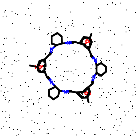 Cc1cc2c(O)c(c1)/C=N/C1CCCCC1/N=C/c1cc(C)cc(c1O)/C=N/C1CCCCC1/N=C/c1cc(C)cc(c1O)/C=N/C1CCCCC1/N=C/2